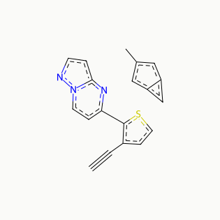 C#Cc1ccsc1-c1ccn2nccc2n1.Cc1cc2cc-2c1